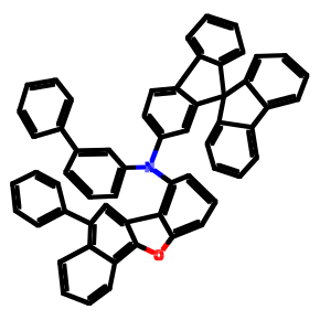 c1ccc(-c2cccc(N(c3ccc4c(c3)C3(c5ccccc5-c5ccccc53)c3ccccc3-4)c3cccc4oc5c6ccccc6c(-c6ccccc6)cc5c34)c2)cc1